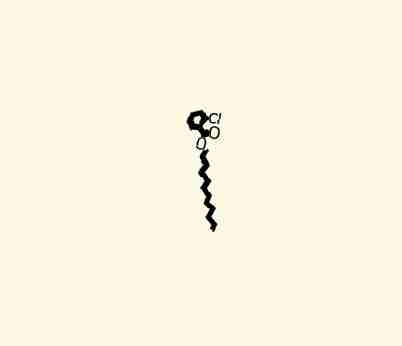 CCCCCCCCCCCCOC(=O)c1ccccc1Cl